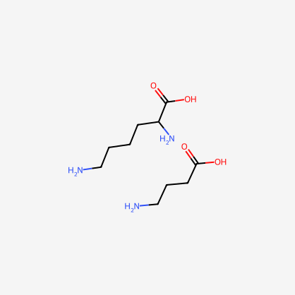 NCCCC(=O)O.NCCCCC(N)C(=O)O